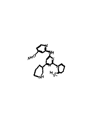 COc1ccnc(Nc2cc(C3CCCNC3)nc(N3CCCC3C)n2)c1